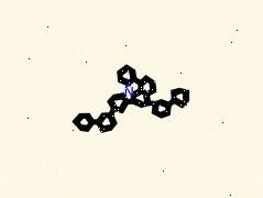 c1ccc(-c2cccc(-c3ccc4c(c3)c3cc(-c5cccc(-c6ccccc6)c5)c5cccc6c7ccccc7n4c3c56)c2)cc1